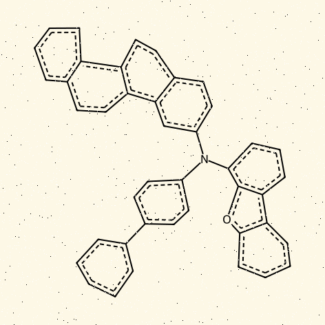 c1ccc(-c2ccc(N(c3ccc4ccc5c6ccccc6ccc5c4c3)c3cccc4c3oc3ccccc34)cc2)cc1